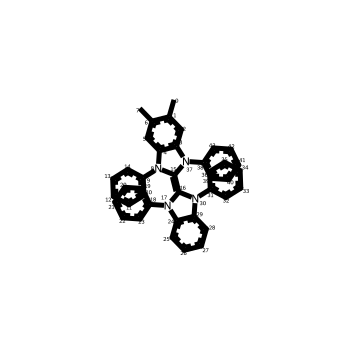 Cc1cc2c(cc1C)N(c1ccccc1)C(=C1N(c3ccccc3)c3ccccc3N1c1ccccc1)N2c1ccccc1